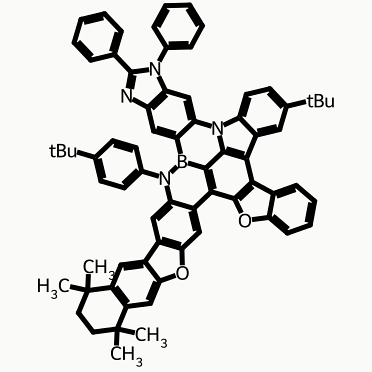 CC(C)(C)c1ccc(N2B3c4cc5nc(-c6ccccc6)n(-c6ccccc6)c5cc4-n4c5ccc(C(C)(C)C)cc5c5c6c(oc7ccccc76)c(c3c54)-c3cc4oc5cc6c(cc5c4cc32)C(C)(C)CCC6(C)C)cc1